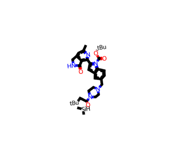 Cc1cc2c(c(-c3cc4cc(CN5CCN(C(CC(C)(C)C)O[SiH](C)C)CC5)ccc4n3C(=O)OC(C)(C)C)n1)C(=O)NC2